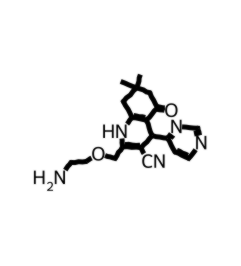 CC1(C)CC(=O)C2=C(C1)NC(COCCN)=C(C#N)C2c1ccncn1